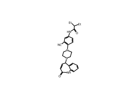 CCC(CC)C(=O)Nc1ccc(N2CCN(C3C=CC(=O)Nc4ccccc43)CC2)c(C#N)c1